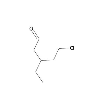 CCC(CC=O)CCCl